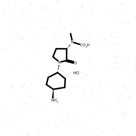 CN(C(=O)O)[C@H]1CCN([C@H]2CC[C@H](N)CC2)C1=O.Cl